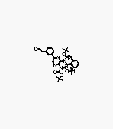 CC(C)(C)OC(=O)N(Cc1c(Cl)cccc1Cl)c1nc(-c2cccc(CC=O)c2)cnc1N(C(=O)OC(C)(C)C)C(=O)OC(C)(C)C